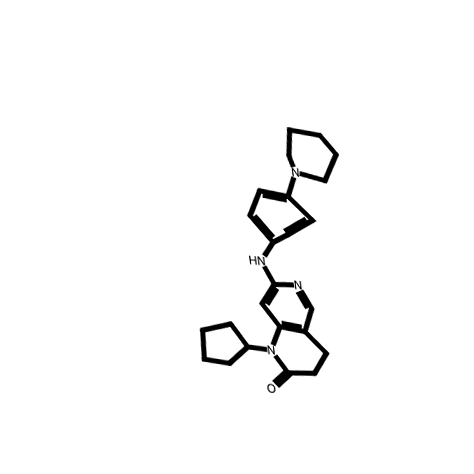 O=C1CCc2cnc(Nc3ccc(N4CCCCC4)cc3)cc2N1C1CCCC1